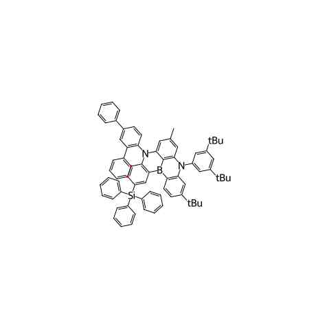 Cc1cc2c3c(c1)N(c1ccc(-c4ccccc4)cc1-c1ccccc1)c1ccc([Si](c4ccccc4)(c4ccccc4)c4ccccc4)cc1B3c1ccc(C(C)(C)C)cc1N2c1cc(C(C)(C)C)cc(C(C)(C)C)c1